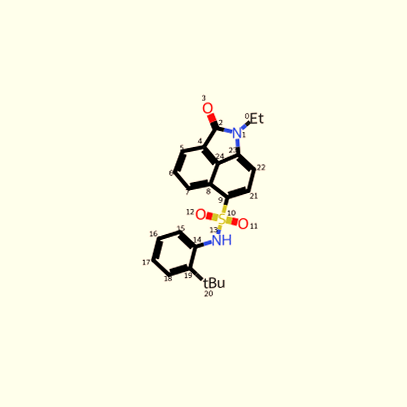 CCN1C(=O)c2cccc3c(S(=O)(=O)Nc4ccccc4C(C)(C)C)ccc1c23